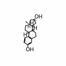 C[C@]12CC[C@@H]3c4ccc(O)cc4CC[C@H]3[C@H]1C[C@@H](O)C2